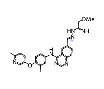 COCC(=N)N/N=C/c1ccc2ncnc(Nc3ccc(Oc4ccc(C)nc4)c(C)c3)c2c1